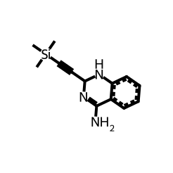 C[Si](C)(C)C#CC1N=C(N)c2ccccc2N1